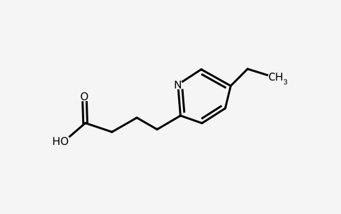 CCc1ccc(CCCC(=O)O)nc1